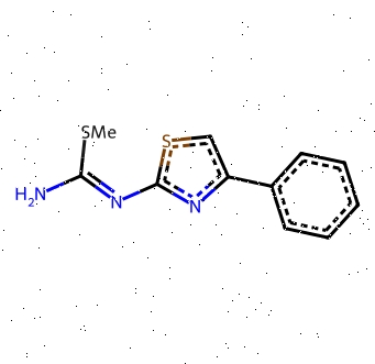 CS/C(N)=N\c1nc(-c2ccccc2)cs1